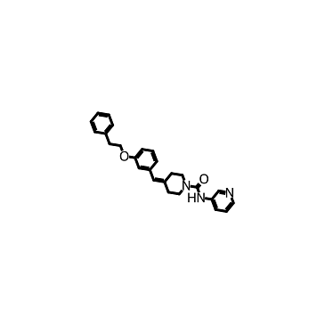 O=C(Nc1cccnc1)N1CCC(=Cc2cccc(OCCc3ccccc3)c2)CC1